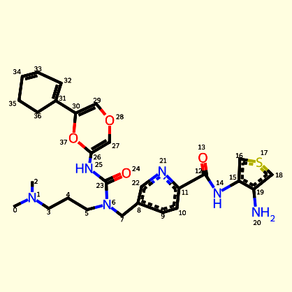 CN(C)CCCN(Cc1ccc(C(=O)Nc2cscc2N)nc1)C(=O)NC1=COC=C(C2=CC=CCC2)O1